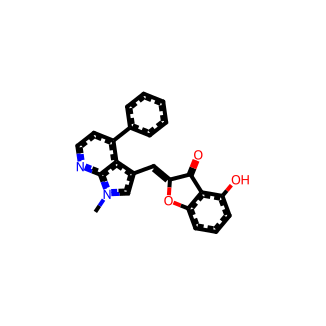 Cn1cc(C=C2Oc3cccc(O)c3C2=O)c2c(-c3ccccc3)ccnc21